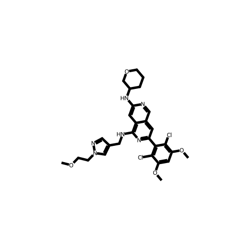 COCCn1cc(CNc2nc(-c3c(Cl)c(OC)cc(OC)c3Cl)cc3cnc(NC4CCCOC4)cc23)cn1